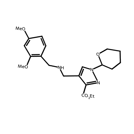 CCOC(=O)c1nn(C2CCCCO2)cc1CNCc1ccc(OC)cc1OC